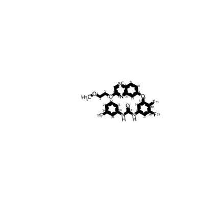 COCCOc1cnc2ccc(Oc3cc(NC(=O)Nc4cccc(F)c4)cc(F)c3F)cc2n1